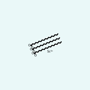 CCCCCCCCCCCCCCCCCC(=O)[O-].CCCCCCCCCCCCCCCCCC(=O)[O-].CCCCCCCCCCCCCCCCCC(=O)[O-].[Sc+3]